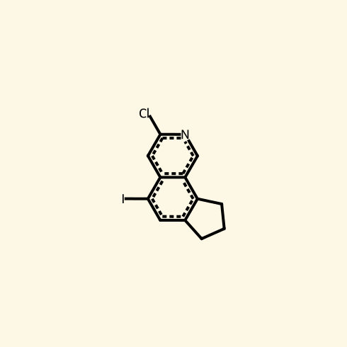 Clc1cc2c(I)cc3c(c2cn1)CCC3